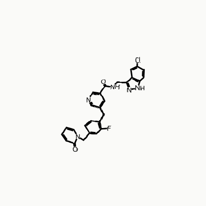 O=C(NCc1n[nH]c2ccc(Cl)cc12)c1cncc(Cc2ccc(Cn3ccccc3=O)cc2F)c1